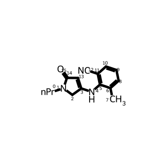 CCCN1CC(Nc2c(C)cccc2C#N)=CC1=O